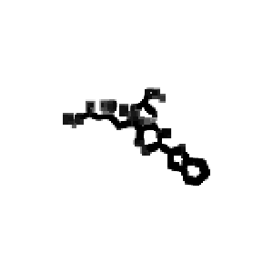 CNC[C@H](O)CNC(=O)[C@H](CC(C)C)NC(=O)c1cc2ccccc2s1